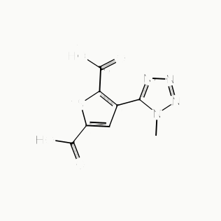 Cn1nnnc1-c1cc(C(=O)O)sc1C(=O)O